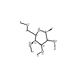 COCC1O[C@@H](C)C(OC)C(OC)[C@H]1OC